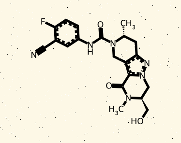 C[C@@H]1Cc2nn3c(c2CN1C(=O)Nc1ccc(F)c(C#N)c1)C(=O)N(C)[C@H](CO)C3